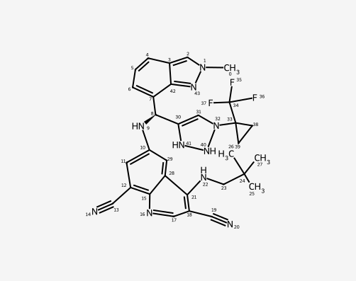 Cn1cc2cccc([C@H](Nc3cc(C#N)c4ncc(C#N)c(NCC(C)(C)C)c4c3)C3=CN(C4(C(F)(F)F)CC4)NN3)c2n1